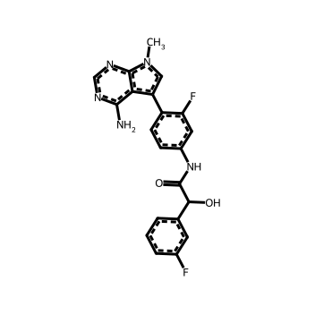 Cn1cc(-c2ccc(NC(=O)C(O)c3cccc(F)c3)cc2F)c2c(N)ncnc21